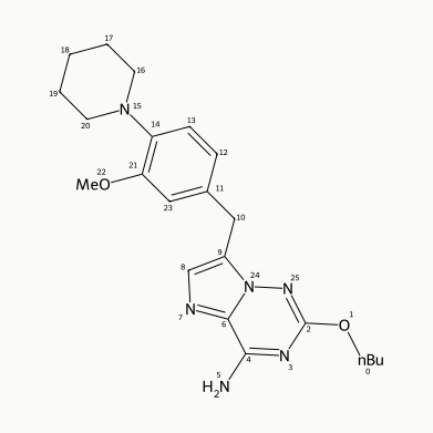 CCCCOc1nc(N)c2ncc(Cc3ccc(N4CCCCC4)c(OC)c3)n2n1